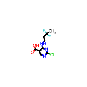 CC(F)(F)CCNc1nc(Cl)ncc1C(=O)O